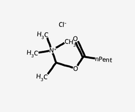 CCCCCC(=O)OC(C)[N+](C)(C)C.[Cl-]